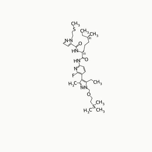 CCc1c(-c2ccc(NC(=O)[C@H](CCC[C@H](C)CC)NC(=O)c3ccnn3CCSC)nc2F)c(C)nn1COCCS(C)(C)C